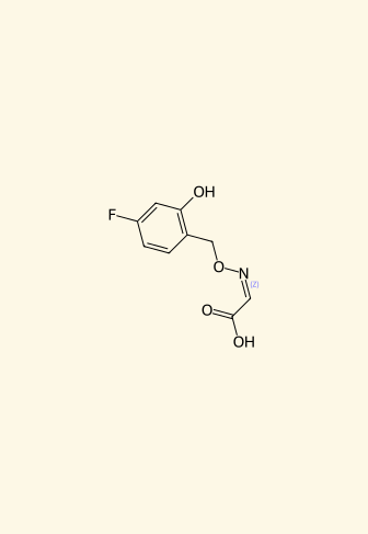 O=C(O)/C=N\OCc1ccc(F)cc1O